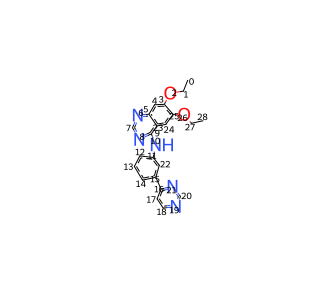 CCOc1cc2ncnc(Nc3cccc(-c4ccncn4)c3)c2cc1OCC